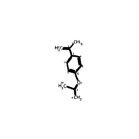 C=C(C)c1ccc(OC(C)C)cc1